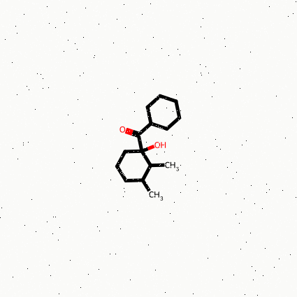 CC1CCCC(O)(C(=O)C2CCCCC2)C1C